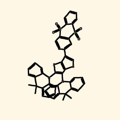 CC1(C)c2ccccc2N(c2sc3c(-c4ccc5c(c4)S(=O)(=O)c4ccccc4S5(=O)=O)csc3c2N2c3ccccc3C(C)(C)c3ccccc32)c2ccccc21